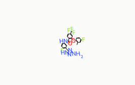 Cc1cc(F)ccc1Oc1cc(C(F)(F)F)ccc1C(=O)Nc1ccc(F)c(-c2nc(N)n[nH]2)c1